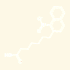 O=C(O)CCCCCCc1ccc2ccccc2c1[N+](=O)[O-]